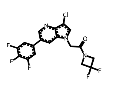 O=C(Cn1cc(Cl)c2ncc(-c3cc(F)c(F)c(F)c3)cc21)N1CC(F)(F)C1